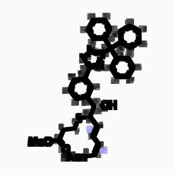 CCCCCCCCC/C=C\C=C\[C@@H](SCCC(=O)OC)[C@@H](O)c1cccc(-c2nnn(C(c3ccccc3)(c3ccccc3)c3ccccc3)n2)c1